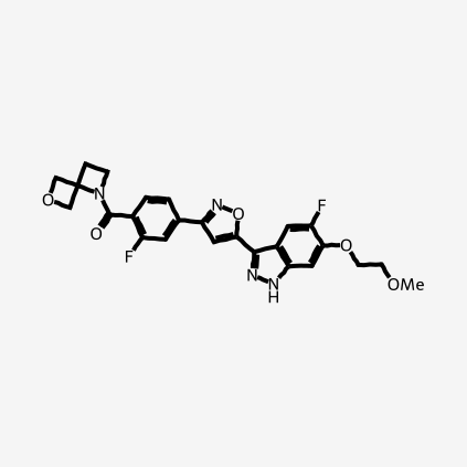 COCCOc1cc2[nH]nc(-c3cc(-c4ccc(C(=O)N5CCC56COC6)c(F)c4)no3)c2cc1F